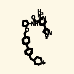 CN1CCC(Cc2ccc(-c3ccc(CO[C@H]4CCC[C@@H]4NC(=O)c4cc(-c5cnn(C)c5)cnc4N)cc3)cc2)CC1